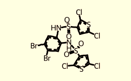 O=S(=O)(Nc1cc(Br)c(Br)cc1NS(=O)(=O)c1cc(Cl)sc1Cl)c1cc(Cl)sc1Cl